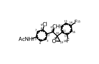 C=C(c1ccc(NC(C)=O)cc1Cl)C1(c2ccc(F)cc2F)CO1